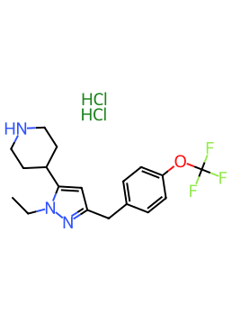 CCn1nc(Cc2ccc(OC(F)(F)F)cc2)cc1C1CCNCC1.Cl.Cl